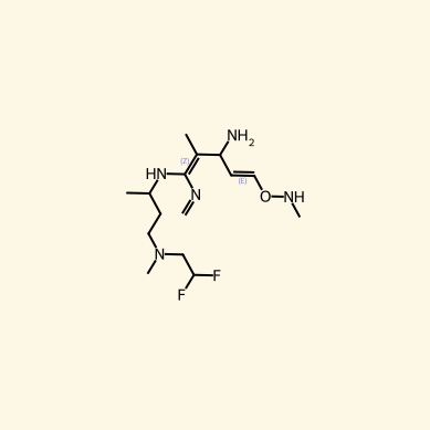 C=N/C(NC(C)CCN(C)CC(F)F)=C(/C)C(N)/C=C/ONC